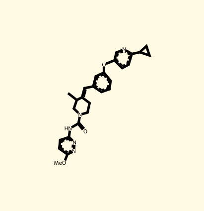 COc1ccc(NC(=O)N2CCC(=Cc3cccc(Oc4ccc(C5CC5)nc4)c3)C(C)C2)nn1